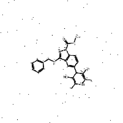 CC1=C(C#N)C(c2ccc3c(c2)c(NCc2ccccc2)nn3C(=O)OC(C)(C)C)C(C#N)=C(C)N1